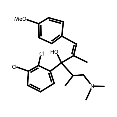 COc1ccc(C=C(C)C(O)(c2cccc(Cl)c2Cl)C(C)CN(C)C)cc1